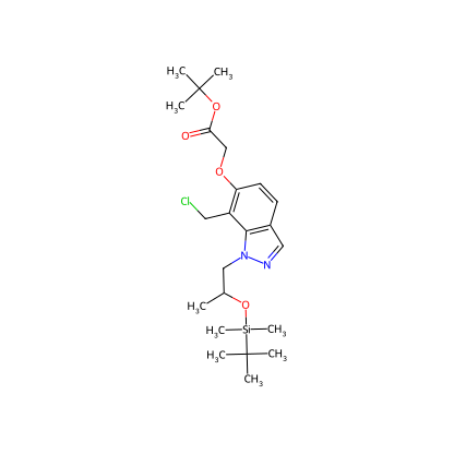 CC(Cn1ncc2ccc(OCC(=O)OC(C)(C)C)c(CCl)c21)O[Si](C)(C)C(C)(C)C